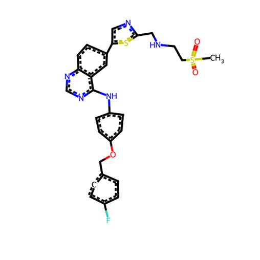 CS(=O)(=O)CCNCc1ncc(-c2ccc3ncnc(Nc4ccc(OCc5ccc(F)cc5)cc4)c3c2)s1